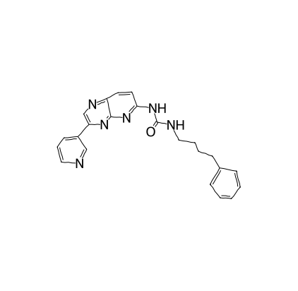 O=C(NCCCCc1ccccc1)Nc1ccc2ncc(-c3cccnc3)nc2n1